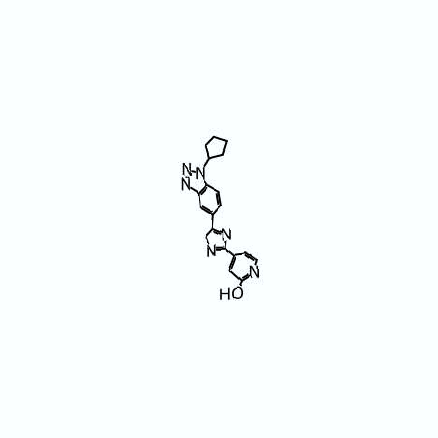 Oc1cc(C2=NCC(c3ccc4c(c3)nnn4C3CCCC3)=N2)ccn1